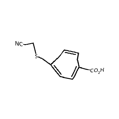 N#CCSc1ccc(C(=O)O)cc1